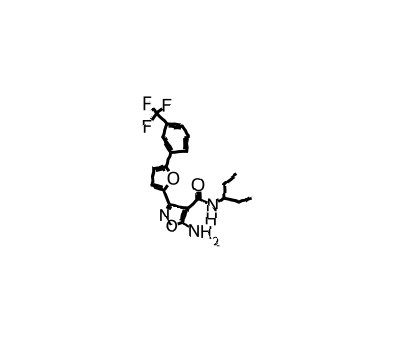 CCC(CC)NC(=O)c1c(-c2ccc(-c3cccc(C(F)(F)F)c3)o2)noc1N